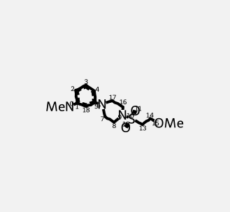 CNc1cccc(N2CCN(S(=O)(=O)CCOC)CC2)c1